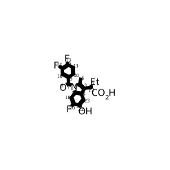 CCC(C(=O)O)c1c(C)n(C(=O)c2ccc(F)c(F)c2)c2cc(F)c(O)cc12